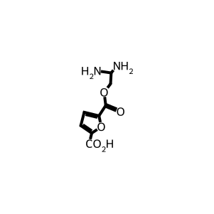 NC(N)COC(=O)c1ccc(C(=O)O)o1